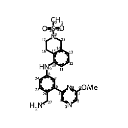 COc1cncc(-c2cc(Nc3cccc4c3CCN(S(C)(=O)=O)C4)ccc2CN)n1